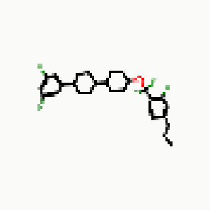 CCCc1ccc(C(F)(F)OC2CCC(C3CCC(c4cc(F)cc(F)c4)CC3)CC2)c(F)c1